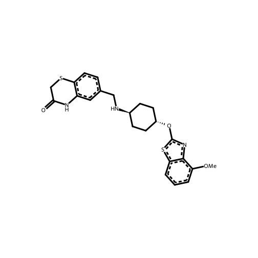 COc1cccc2sc(O[C@H]3CC[C@H](NCc4ccc5c(c4)NC(=O)CS5)CC3)nc12